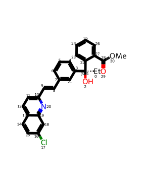 CC[C@](O)(c1cccc(C=Cc2ccc3ccc(Cl)cc3n2)c1)c1ccccc1C(=O)OC